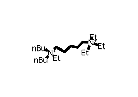 CCCC[N+](CC)(CCCC)CCCCC[N+](CC)(CC)CC